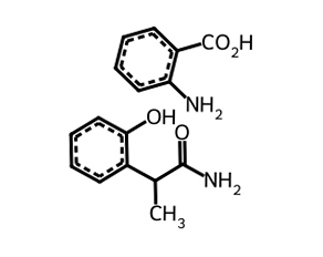 CC(C(N)=O)c1ccccc1O.Nc1ccccc1C(=O)O